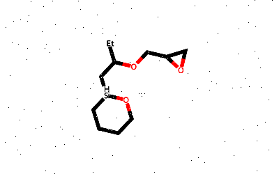 CCC(C[SiH]1CCCCO1)OCC1CO1